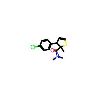 CN(C)C(=O)C1(C)SC=CC1c1ccc(Cl)cc1